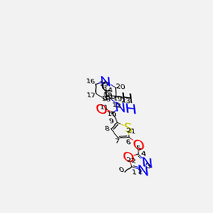 Cc1nnc(Oc2ccc(C(=O)N[C@H]3CN4CCC3CC4)s2)o1